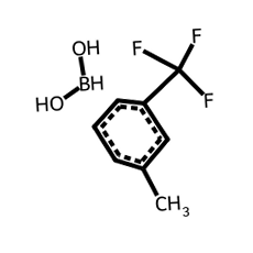 Cc1cccc(C(F)(F)F)c1.OBO